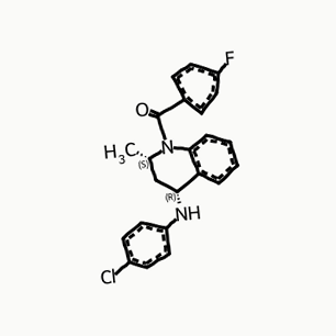 C[C@H]1C[C@@H](Nc2ccc(Cl)cc2)c2ccccc2N1C(=O)c1ccc(F)cc1